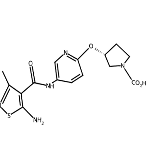 Cc1nsc(N)c1C(=O)Nc1ccc(O[C@@H]2CCN(C(=O)O)C2)nc1